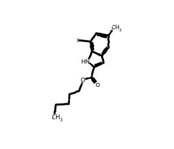 CCCCCOC(=O)c1cc2cc(C)cc(I)c2[nH]1